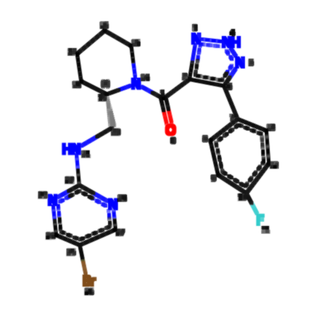 O=C(c1n[nH]nc1-c1ccc(F)cc1)N1CCCC[C@H]1CNc1ncc(Br)cn1